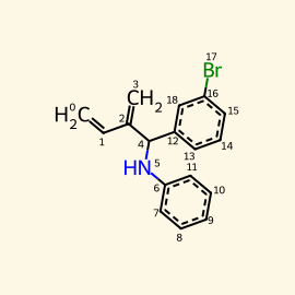 C=CC(=C)C(Nc1ccccc1)c1cccc(Br)c1